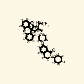 O=C1c2cc(N3CCN(CCCC4(C(=O)NCC(F)(F)F)c5ccccc5Sc5ccccc54)CC3)ccc2CCN1C1CCCCC1